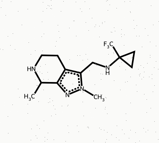 CC1NCCc2c1nn(C)c2CNC1(C(F)(F)F)CC1